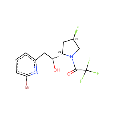 O=C(N1C[C@H](F)C[C@H]1C(O)Cc1cccc(Br)n1)C(F)(F)F